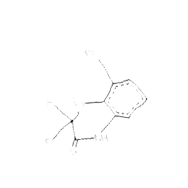 O=C1Nc2cccc(Br)c2OC1(F)F